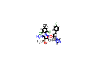 CC(C)(C)C(O)(CCc1ccc(Cl)cc1)Cn1cncn1.N#Cc1nn(-c2c(Cl)cc(C(F)(F)F)cc2Cl)c(N)c1[S+]([O-])C(F)(F)F